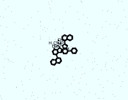 CC1=Cc2c(-c3cccc4ccccc34)ccc(C)c2[CH]1[Zr]([Cl])([Cl])([CH]1C(c2cccc3ccccc23)=Cc2c(-c3ccccc3)cccc21)[SiH](C)C